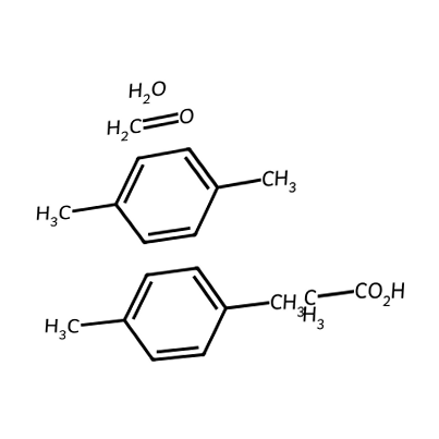 C=O.CC(=O)O.Cc1ccc(C)cc1.Cc1ccc(C)cc1.O